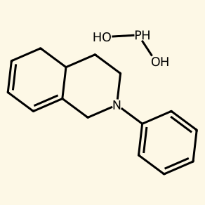 C1=CCC2CCN(c3ccccc3)CC2=C1.OPO